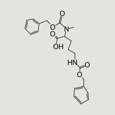 CN(C(=O)OCc1ccccc1)C(CCCNC(=O)OCc1ccccc1)C(=O)O